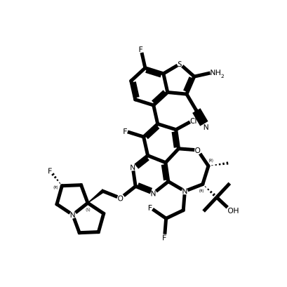 C[C@H]1Oc2c(Cl)c(-c3ccc(F)c4sc(N)c(C#N)c34)c(F)c3nc(OC[C@@]45CCCN4C[C@H](F)C5)nc(c23)N(CC(F)F)[C@H]1C(C)(C)O